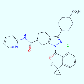 O=C(O)C1CC=C(c2nn(C(=O)c3c(Cl)cccc3C3(C(F)(F)F)CC3)c3c2CCC(C(=O)Nc2ccccn2)C3)CC1